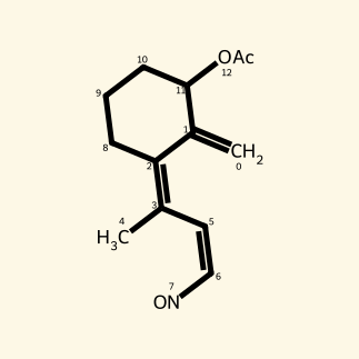 C=C1/C(=C(C)\C=C/N=O)CCCC1OC(C)=O